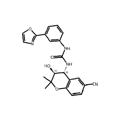 CC1(C)Oc2ccc(C#N)cc2[C@@H](NC(=O)Nc2cccc(-c3ncco3)c2)[C@@H]1O